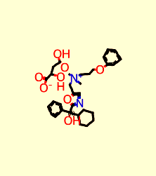 C[N+](C)(CCCOc1ccccc1)Cc1cnc([C@](O)(c2ccccc2)C2CCCCC2)o1.O=C(O)CC(O)C(=O)[O-]